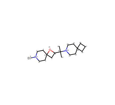 CCN1CCC2(CC1)CC(C(C)(C)N1CCC3(CCC3)CC1)O2